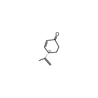 C=C(C)[C@@H]1C=CC(=O)CC1